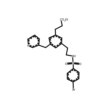 CCOC(=O)CCc1cc(CCNS(=O)(=O)c2ccc(Br)cc2)cc(Cc2cccnc2)c1